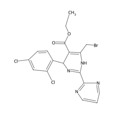 CCOC(=O)C1=C(CBr)NC(c2ncccn2)=NC1c1ccc(Cl)cc1Cl